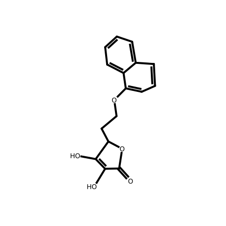 O=C1OC(CCOc2cccc3ccccc23)C(O)=C1O